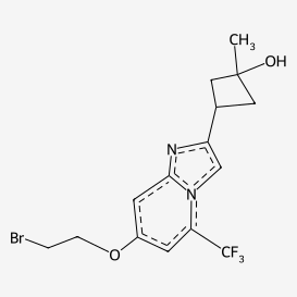 CC1(O)CC(c2cn3c(C(F)(F)F)cc(OCCBr)cc3n2)C1